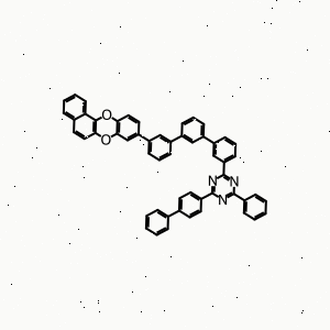 c1ccc(-c2ccc(-c3nc(-c4ccccc4)nc(-c4cccc(-c5cccc(-c6cccc(-c7ccc8c(c7)Oc7ccc9ccccc9c7O8)c6)c5)c4)n3)cc2)cc1